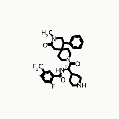 CN1CC(c2ccccc2)C2(CCN(C(=O)[C@H](NC(=O)c3cc(C(F)(F)F)ccc3F)C3CCNCC3)CC2)CC1=O